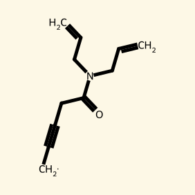 [CH2]C#CCC(=O)N(CC=C)CC=C